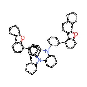 c1cc(-c2cccc3oc4c5ccccc5ccc4c23)cc(N(c2ccc(-c3cccc4c3oc3ccccc34)cc2)c2ccccc2-n2c3ccccc3c3ccccc32)c1